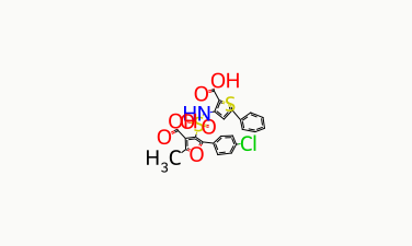 Cc1oc(-c2ccc(Cl)cc2)c(S(=O)(=O)Nc2cc(-c3ccccc3)sc2C(=O)O)c1C(=O)O